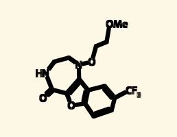 COCCON1CCNC(=O)c2oc3ccc(C(F)(F)F)cc3c21